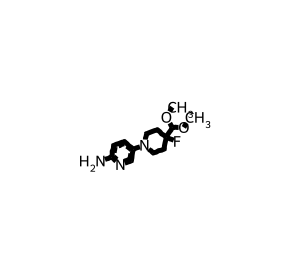 COC(OC)C1(F)CCN(c2ccc(N)nc2)CC1